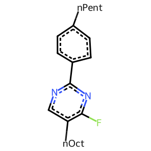 CCCCCCCCc1cnc(-c2ccc(CCCCC)cc2)nc1F